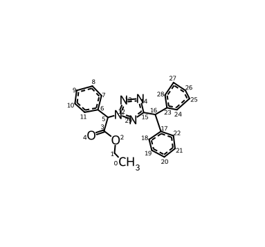 CCOC(=O)C(c1ccccc1)n1nnc(C(c2ccccc2)c2ccccc2)n1